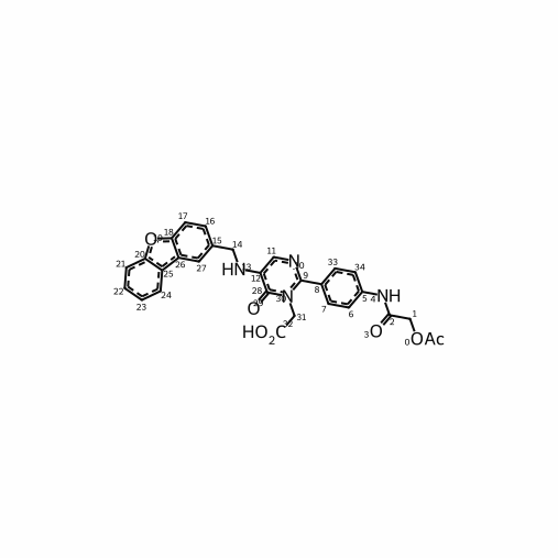 CC(=O)OCC(=O)Nc1ccc(-c2ncc(NCc3ccc4oc5ccccc5c4c3)c(=O)n2CC(=O)O)cc1